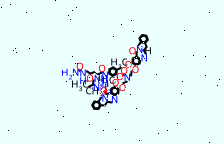 COc1cc2c(cc1OCCN(CCOc1cc3c(cc1OC)C(=O)N1Cc4ccccc4C[C@H]1C=N3)C(=O)OCc1ccc(NC(=O)[C@H](CCCNC(N)=O)NC(=O)[C@@H](N)C(C)C)cc1)N=CC1Cc3ccccc3CN1C2=O